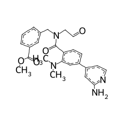 COC(=O)c1cccc(CN(CC=O)C(=O)c2ccc(-c3ccnc(N)c3)cc2N(C)C)c1